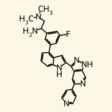 CN(C)CC(N)c1cc(F)cc(-c2cccc3[nH]c(-c4n[nH]c5cnc(-c6ccncc6)cc45)cc23)c1